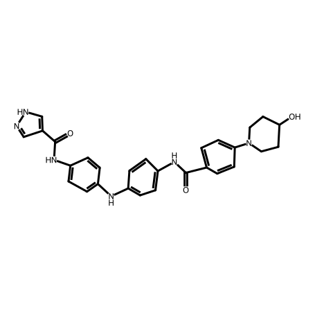 O=C(Nc1ccc(Nc2ccc(NC(=O)c3cn[nH]c3)cc2)cc1)c1ccc(N2CCC(O)CC2)cc1